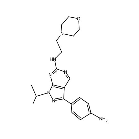 CC(C)n1nc(-c2ccc(N)cc2)c2cnc(NCCN3CCOCC3)nc21